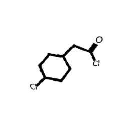 O=C(Cl)CC1CCC(Cl)CC1